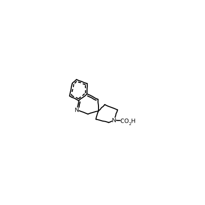 O=C(O)N1CCC2(C=c3ccccc3=NC2)CC1